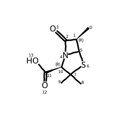 C[C@@H]1C(=O)N2C1SC(C)(C)[C@H]2C(=O)O